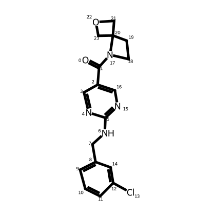 O=C(c1cnc(NCc2cccc(Cl)c2)nc1)N1CCC12COC2